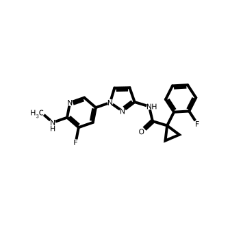 CNc1ncc(-n2ccc(NC(=O)C3(c4ccccc4F)CC3)n2)cc1F